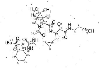 C#CCCNC(=O)C(=O)C(CC1CC1)NC(=O)[C@@H]1[C@@H]2[C@H](CN1C(=O)CNC(=O)NC1(CS(=O)(=O)C(C)(C)C)CCCCC1)C2(C)C